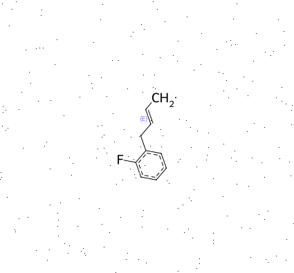 [CH2]/C=C/Cc1ccccc1F